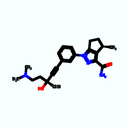 C[C@@H]1CCc2c1c(C(N)=O)nn2-c1cccc(C#C[C@@](O)(C=O)CCN(C)C)c1